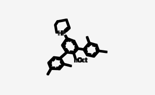 CCCCCCCCc1c(-c2ccc(C)cc2C)cc([PH]2=CCCCC2)cc1-c1ccc(C)cc1C